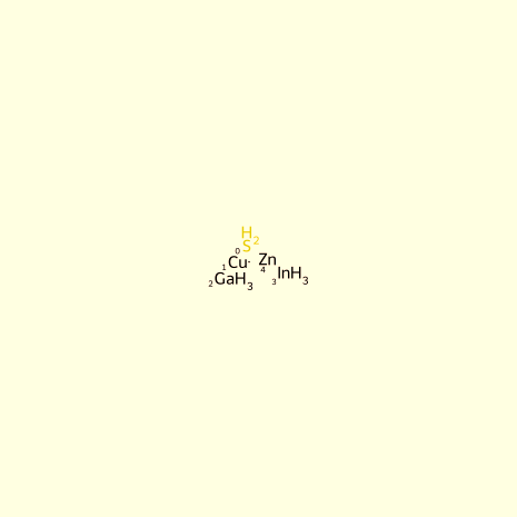 S.[Cu].[GaH3].[InH3].[Zn]